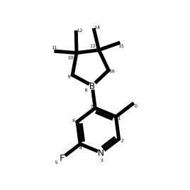 Cc1cnc(F)cc1B1CC(C)(C)C(C)(C)C1